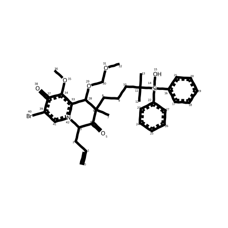 C=CCC1C(=O)C(C)(CCCC(C)(C)[Si](O)(c2ccccc2)c2ccccc2)C(OCOC)c2c(OC)c(=O)c(Br)cn21